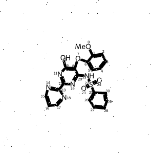 COc1ccccc1Oc1c(O)nc(-c2ncccn2)nc1NS(=O)(=O)c1ccccc1